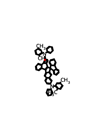 Cc1ccc(C)c(N(c2ccccc2)c2ccc3cc4c(cc3c2)C2(c3ccccc3-c3ccccc32)c2c-4c3ccccc3c3cc(N(c4ccccc4)c4cc(C)ccc4C)ccc23)c1